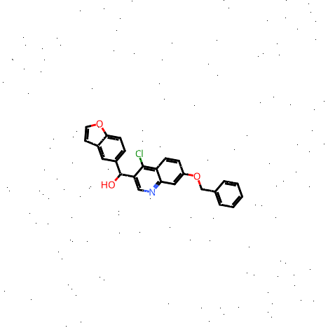 OC(c1ccc2occc2c1)c1cnc2cc(OCc3ccccc3)ccc2c1Cl